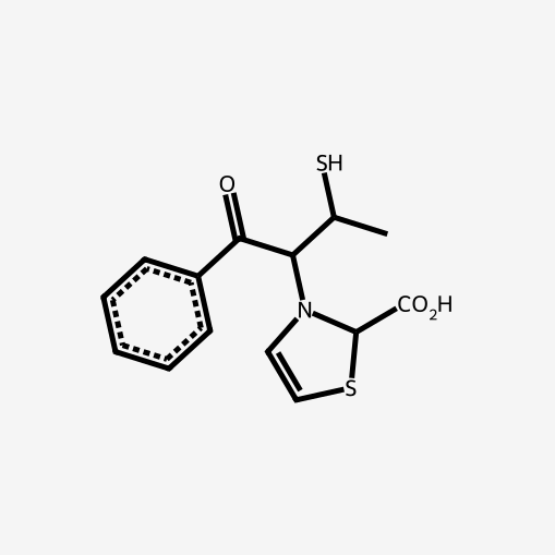 CC(S)C(C(=O)c1ccccc1)N1C=CSC1C(=O)O